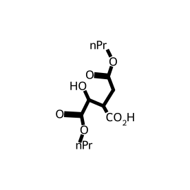 CCCOC(=O)CC(C(=O)O)C(O)C(=O)OCCC